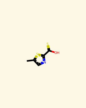 Cc1cnc(C(O)=S)s1